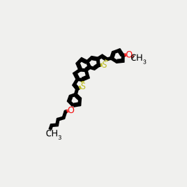 CCCCCCOc1ccc(-c2cc3cc4ccc5cc6cc(-c7ccc(OC)cc7)sc6cc5c4cc3s2)cc1